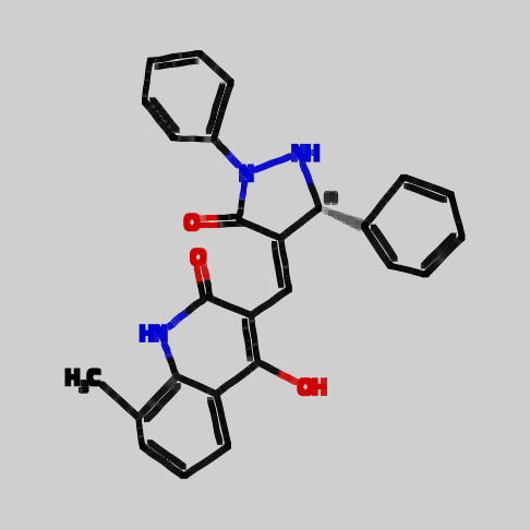 Cc1cccc2c(O)c(C=C3C(=O)N(c4ccccc4)N[C@@H]3c3ccccc3)c(=O)[nH]c12